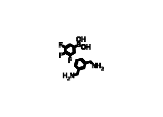 NCc1cccc(CN)c1.OB(O)c1cc(F)c(F)c(F)c1